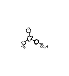 CC(CS(C)(=O)=O)c1cc(N2CCOCC2)nc(-c2ccc(NC(=O)O)cc2)n1